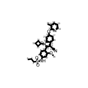 CCCS(=O)(=O)Nc1ccc(-c2c(C#N)c3ccc(Oc4ncccc4C)cc3n2C2CCC2)c(OC)c1